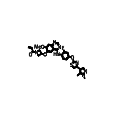 C=CC(=O)N1CC(Oc2cc3c(Nc4ccc(Oc5nc(-c6cnn(C)c6C)cs5)cc4F)ncnc3cc2OC)C1